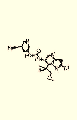 COCC1(c2c(NC(=O)Nc3cncc(C#N)c3)cnc3cc(Cl)nn23)CC1